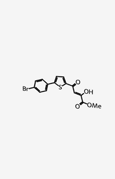 COC(=O)C(O)=CC(=O)c1ccc(-c2ccc(Br)cc2)s1